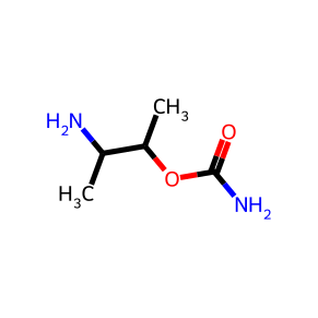 CC(N)C(C)OC(N)=O